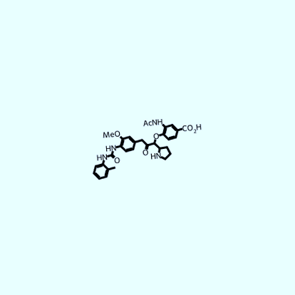 COc1cc(CC(=O)C(Oc2ccc(C(=O)O)cc2NC(C)=O)C2CCCN2)ccc1NC(=O)Nc1ccccc1C